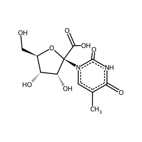 Cc1cn([C@]2(C(=O)O)O[C@H](CO)[C@@H](O)[C@H]2O)c(=O)[nH]c1=O